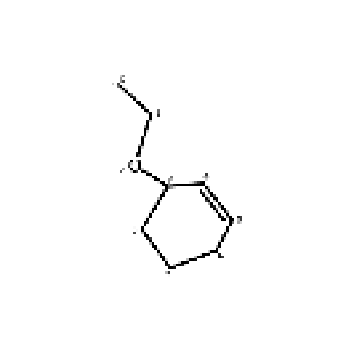 [CH2]COC1C=CCCC1